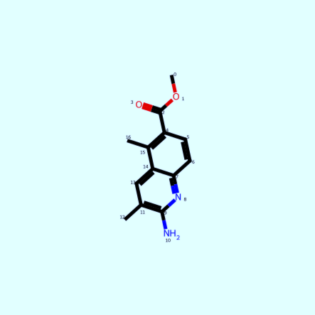 COC(=O)c1ccc2nc(N)c(C)cc2c1C